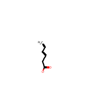 C=CC=CCC([O])=O